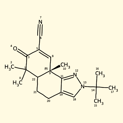 CC1(C)C(=O)C(C#N)=C[C@]2(C)c3nn(C(C)(C)C)cc3CCC12